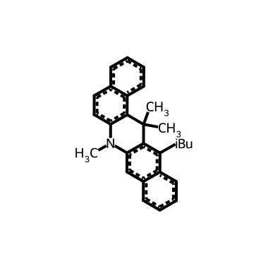 CCC(C)c1c2c(cc3ccccc13)N(C)c1ccc3ccccc3c1C2(C)C